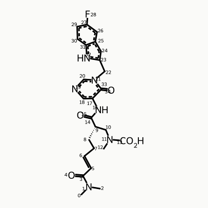 CN(C)C(=O)/C=C/CC[C@@H](CN(C)C(=O)O)C(=O)Nc1cncn(Cc2cc3cc(F)ccc3[nH]2)c1=O